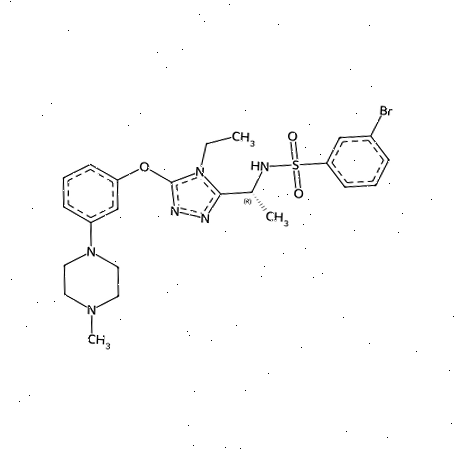 CCn1c(Oc2cccc(N3CCN(C)CC3)c2)nnc1[C@@H](C)NS(=O)(=O)c1cccc(Br)c1